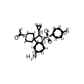 CC(=O)N1CCC2(CC1)c1cc(N)ccc1N(S(=O)(=O)c1ccc(F)cc1)C2C1CC1